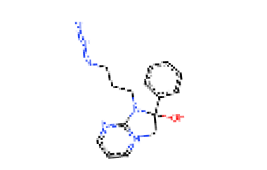 [N-]=[N+]=NCCCN1c2nccc[n+]2CC1(O)c1ccccc1